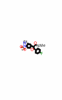 CCc1cc2c(C(=O)NC)c(-c3ccc(F)cc3)oc2cc1NS(C)(=O)=O